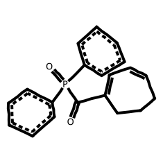 O=C(C1=CC=CCCC1)P(=O)(c1ccccc1)c1ccccc1